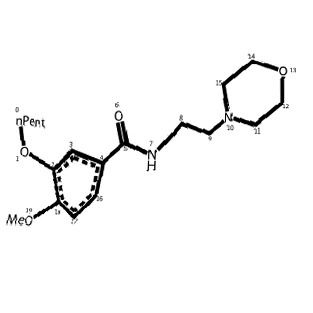 CCCCCOc1cc(C(=O)NCCN2CCOCC2)ccc1OC